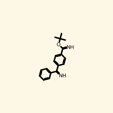 CC(C)(C)OC(=N)c1ccc(C(=N)c2ccccc2)cc1